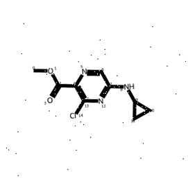 COC(=O)c1ncc(NC2CC2)nc1Cl